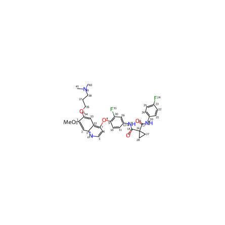 COc1cc2nccc(Oc3ccc(NC(=O)C4(C(=O)Nc5ccc(F)cc5)CC4)cc3F)c2cc1OCCCN(C)C